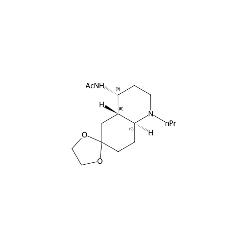 CCCN1CC[C@@H](NC(C)=O)[C@H]2CC3(CC[C@@H]21)OCCO3